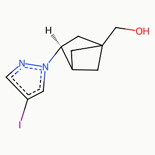 OCC12CC(C1)[C@@H](n1cc(I)cn1)C2